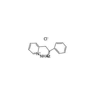 CC(=O)N[n+]1ccccc1CC(=O)c1ccccc1.[Cl-]